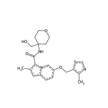 Cc1cc2ccc(OCc3scnc3C)cn2c1C(=O)NC1(CO)CCOCC1